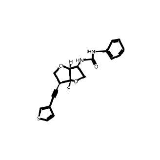 O=C(Nc1ccccc1)N[C@H]1CO[C@H]2[C@@H]1OC[C@@H]2C#Cc1ccsc1